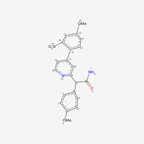 COc1ccc(C(C(N)=O)c2cc(-c3ccc(OC)cc3[N+](=O)[O-])ccn2)cc1